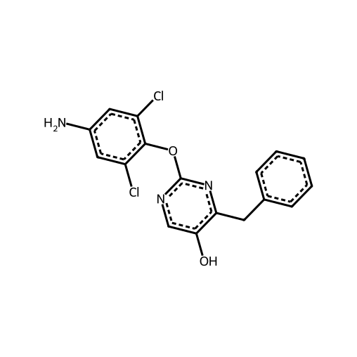 Nc1cc(Cl)c(Oc2ncc(O)c(Cc3ccccc3)n2)c(Cl)c1